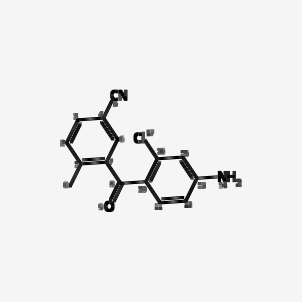 Cc1ccc(C#N)cc1C(=O)c1ccc(N)cc1Cl